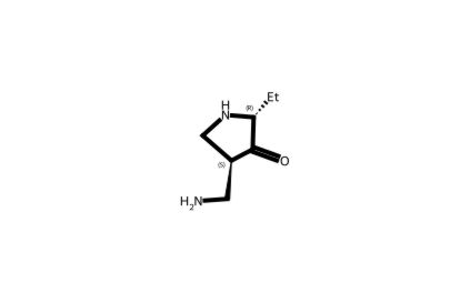 CC[C@H]1NC[C@H](CN)C1=O